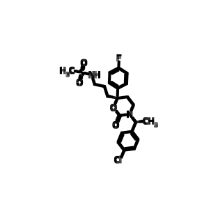 C[C@@H](c1ccc(Cl)cc1)N1CC[C@@](CCCNS(C)(=O)=O)(c2ccc(F)cc2)OC1=O